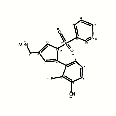 CNCc1cc(-c2cccc(C#N)c2F)n(S(=O)(=O)c2cccnc2)c1